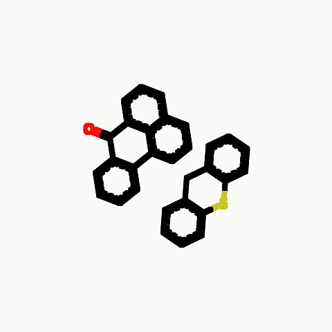 O=C1c2ccccc2-c2cccc3cccc1c23.c1ccc2c(c1)Cc1ccccc1S2